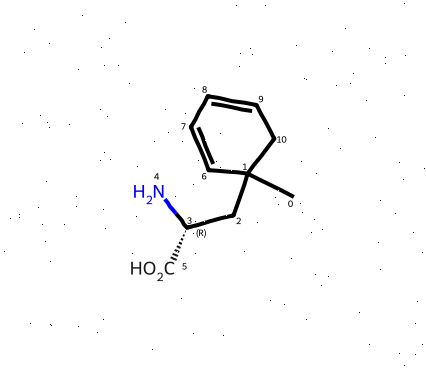 CC1(C[C@@H](N)C(=O)O)C=CC=CC1